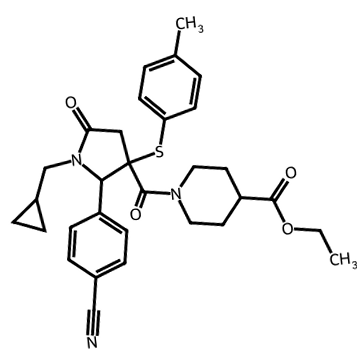 CCOC(=O)C1CCN(C(=O)C2(Sc3ccc(C)cc3)CC(=O)N(CC3CC3)C2c2ccc(C#N)cc2)CC1